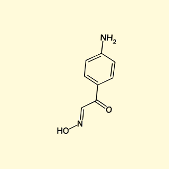 Nc1ccc(C(=O)C=NO)cc1